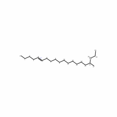 CCCC/C=C/CCCCCCCCCCC(C)[N]CC